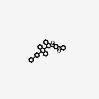 c1ccc(-c2ccc(-c3c4ccccc4c(-c4cc5c6cc7oc8ccccc8c7cc6oc5c5ccccc45)c4ccccc34)cc2)cc1